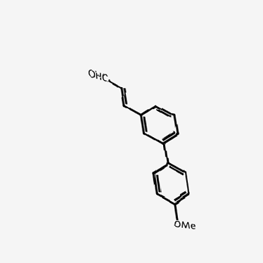 COc1ccc(-c2cccc(C=CC=O)c2)cc1